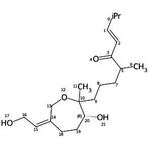 CC(C)C=CC(=O)C(C)CCCC1(C)OCC(=CCO)CC[C@H]1O